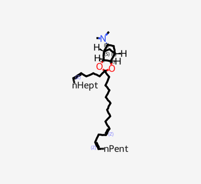 CCCCC/C=C\C/C=C\CCCCCCCCC1(CCC/C=C\CCCCCCC)O[C@@H]2[C@@H]3C[C@H]([C@@H]2O1)[C@H](N(C)C)C3